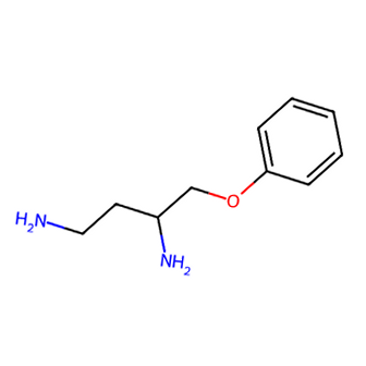 NCCC(N)COc1ccccc1